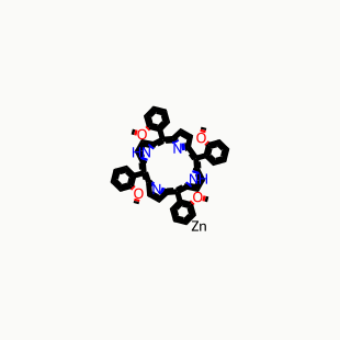 COc1ccccc1-c1c2nc(c(-c3ccccc3OC)c3ccc([nH]3)c(-c3ccccc3OC)c3nc(c(-c4ccccc4OC)c4ccc1[nH]4)C=C3)C=C2.[Zn]